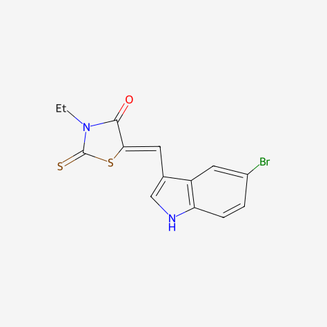 CCN1C(=O)/C(=C/c2c[nH]c3ccc(Br)cc23)SC1=S